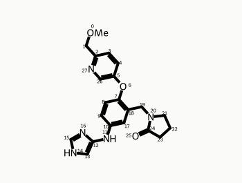 COCc1ccc(Oc2ccc(Nc3c[nH]cn3)cc2CN2CCCC2=O)cn1